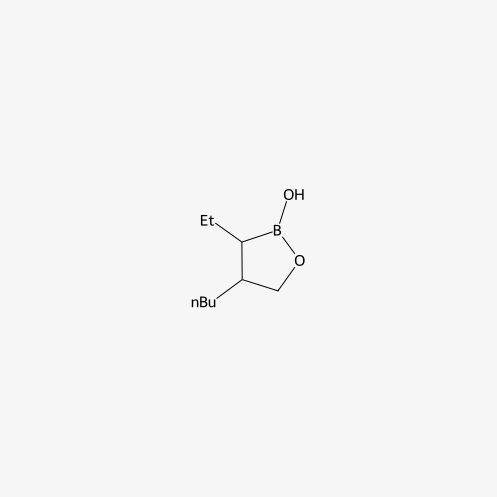 CCCCC1COB(O)C1CC